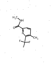 CNC(=O)c1ccc(C)c(C(F)(F)F)n1